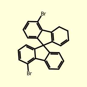 Brc1cccc2c1C1=C(C=CCC1)C21c2ccccc2-c2c(Br)cccc21